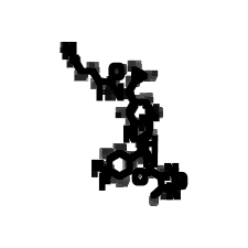 Cc1nonc1C(=O)N[C@H](c1cn2ncc([C@H](NC(=O)CCCC#N)C3CC3)cc2n1)C1CCC(F)(F)CC1